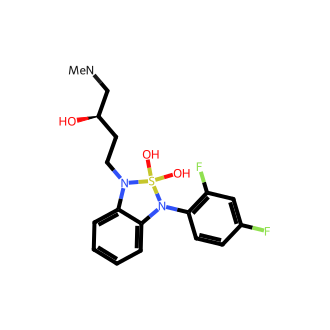 CNC[C@H](O)CCN1c2ccccc2N(c2ccc(F)cc2F)S1(O)O